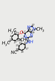 Cc1cc(C)c(Oc2nc(Nc3ccc(C#N)cc3)nc3c2ncn3C)c(C)c1